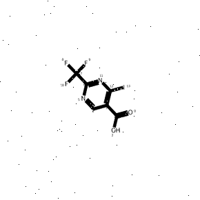 O=C(O)c1cnc(C(F)(F)F)nc1I